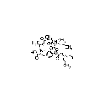 CCCC(C)OC(=O)Oc1ccc(C[C@H](NCC(C)OC(=O)C(C)(C)CC)C(=O)O)cc1OC(=O)OC(C)CCC